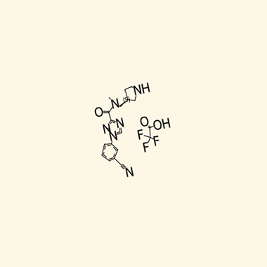 CN(C[C@H]1CCNC1)C(=O)c1ncn(-c2cccc(C#N)c2)n1.O=C(O)C(F)(F)F